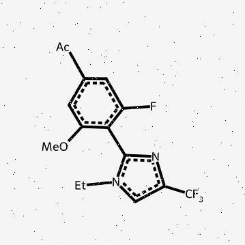 CCn1cc(C(F)(F)F)nc1-c1c(F)cc(C(C)=O)cc1OC